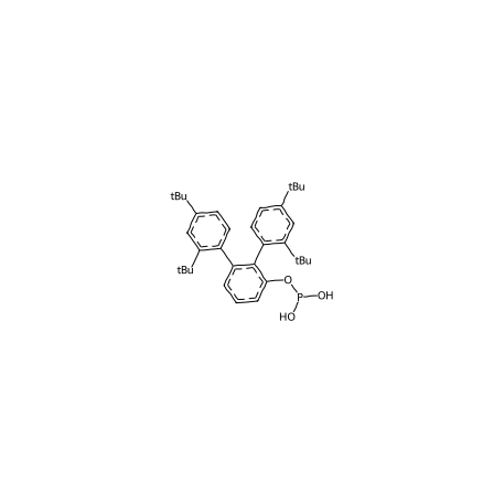 CC(C)(C)c1ccc(-c2cccc(OP(O)O)c2-c2ccc(C(C)(C)C)cc2C(C)(C)C)c(C(C)(C)C)c1